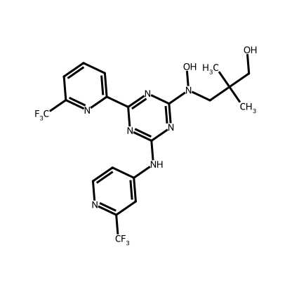 CC(C)(CO)CN(O)c1nc(Nc2ccnc(C(F)(F)F)c2)nc(-c2cccc(C(F)(F)F)n2)n1